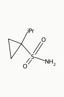 CC(C)C1(S(N)(=O)=O)CC1